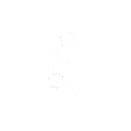 NC(Cc1cccc(OCC(F)(F)F)c1)C(O)c1ccccc1F